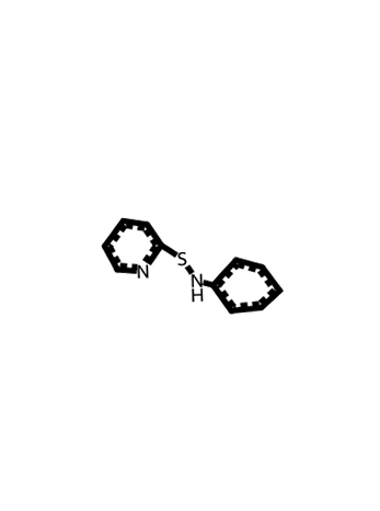 c1ccc(NSc2ccccn2)cc1